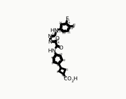 O=C(Nc1ccc(C2CC(C(=O)O)C2)cc1)c1nnc(Nc2ccc(F)c(F)c2)o1